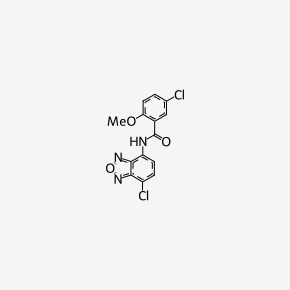 COc1ccc(Cl)cc1C(=O)Nc1ccc(Cl)c2nonc12